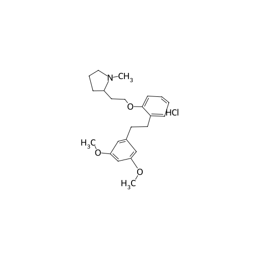 COc1cc(CCc2ccccc2OCCC2CCCN2C)cc(OC)c1.Cl